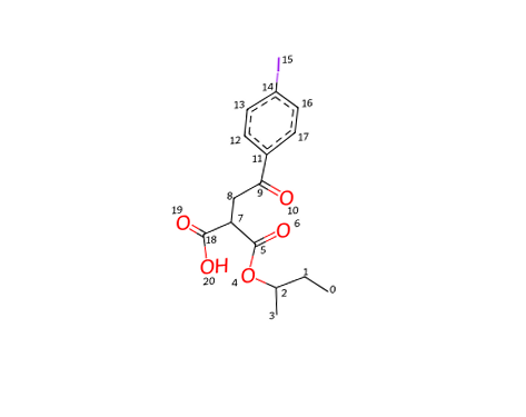 CCC(C)OC(=O)C(CC(=O)c1ccc(I)cc1)C(=O)O